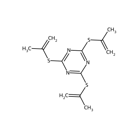 C=C(C)Sc1nc(SC(=C)C)nc(SC(=C)C)n1